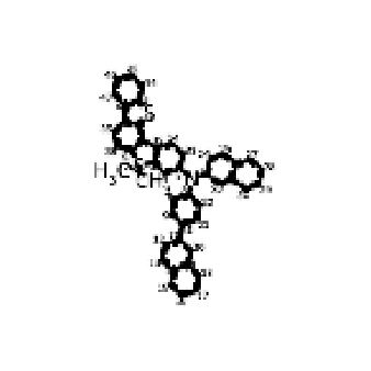 CS1(C)c2cc(N(c3ccc(-c4ccc5ccccc5c4)cc3)c3ccc4ccccc4c3)ccc2-c2c1ccc1c2sc2ccccc21